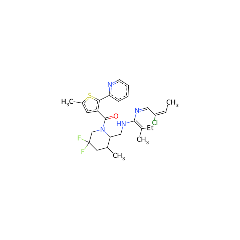 C\C=C(Cl)/C=N\C(NCC1C(C)CC(F)(F)CN1C(=O)c1cc(C)sc1-c1ccccn1)=C(\C)CC